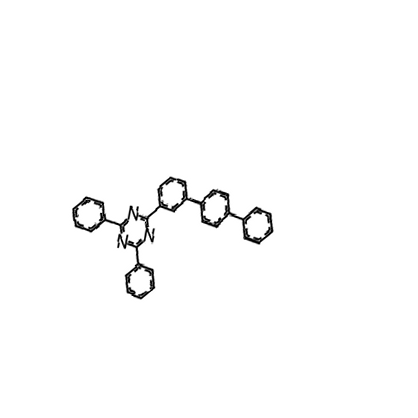 c1ccc(-c2ccc(-c3cccc(-c4nc(-c5ccccc5)nc(-c5ccccc5)n4)c3)cc2)cc1